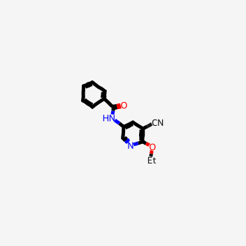 CCOc1ncc(NC(=O)c2ccccc2)cc1C#N